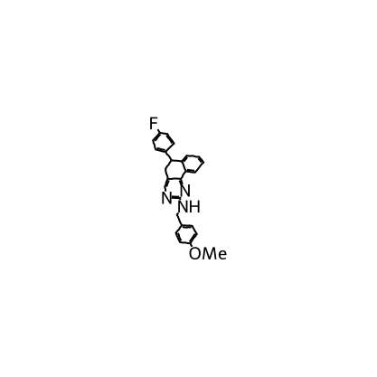 COc1ccc(CNc2ncc3c(n2)-c2ccccc2C(c2ccc(F)cc2)C3)cc1